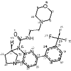 O=C(NCCN1CCOCC1)N1c2nc(-c3cccc(C(F)(F)F)c3)ccc2N2CC[C@H]1C2